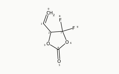 C=CC1OC(=O)OC1(F)F